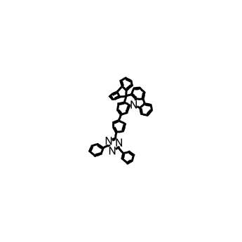 c1ccc(-c2nc(-c3ccccc3)nc(-c3ccc(-c4ccc5c(c4)-n4c6ccccc6c6cccc(c64)C54c5ccccc5-c5ccccc54)cc3)n2)cc1